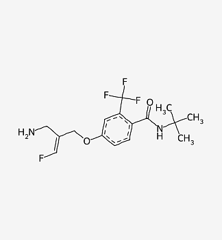 CC(C)(C)NC(=O)c1ccc(OCC(=CF)CN)cc1C(F)(F)F